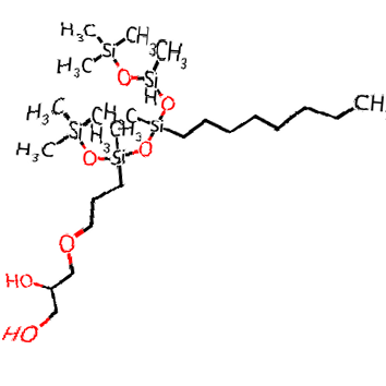 CCCCCCCC[Si](C)(O[SiH](C)O[Si](C)(C)C)O[Si](C)(CCCOCC(O)CO)O[Si](C)(C)C